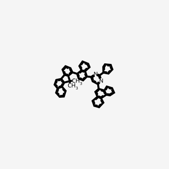 CC1(C)c2c(cccc2-c2ccc(-c3cc(-c4cc5ccccc5c5ccccc45)nc(-c4ccccc4)n3)c3ccccc23)-c2ccc3ccccc3c21